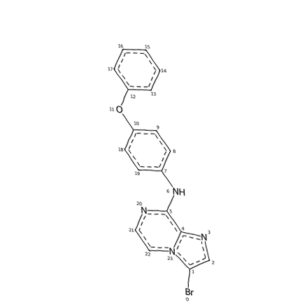 Brc1cnc2c(Nc3ccc(Oc4ccccc4)cc3)nccn12